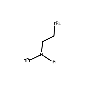 CCCN(CCC(C)(C)C)C(C)C